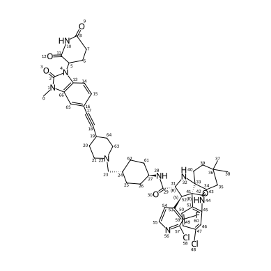 Cn1c(=O)n(C2CCC(=O)NC2=O)c2ccc(C#CC3CCN(C[C@H]4CC[C@H](NC(=O)[C@@H]5NC6(CCC(C)(C)CC6)[C@@]6(C(=O)Nc7cc(Cl)ccc76)[C@H]5c5ccnc(Cl)c5F)CC4)CC3)cc21